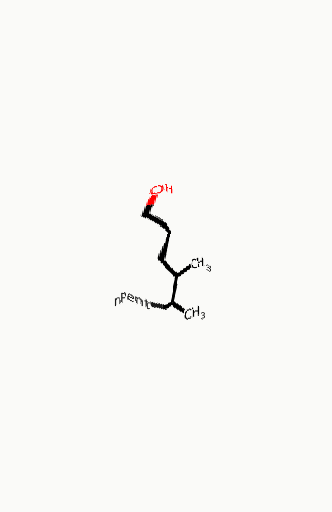 CCCCCC(C)C(C)CCCO